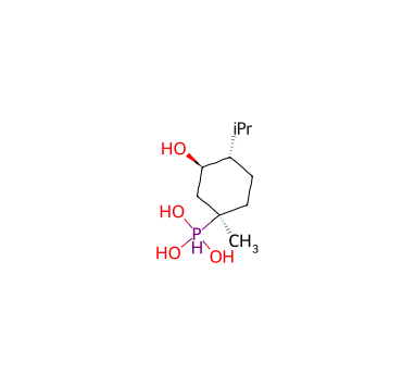 CC(C)[C@@H]1CC[C@@](C)([PH](O)(O)O)C[C@H]1O